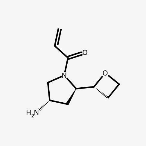 C=CC(=O)N1C[C@@H](N)C[C@@H]1[C@H]1CCO1